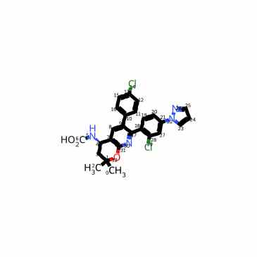 CC1(C)C[C@@H](NC(=O)O)c2cc(-c3ccc(Cl)cc3)c(-c3ccc(-n4cccn4)cc3Cl)nc2O1